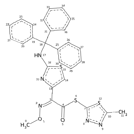 CON=C(C(=O)Sc1nnc(C)s1)c1csc(NC(c2ccccc2)(c2ccccc2)c2ccccc2)n1